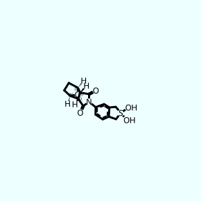 O=C1[C@@H]2[C@H](C(=O)N1c1ccc3c(c1)CS(O)(O)C3)[C@H]1CC[C@@H]2O1